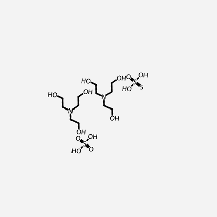 O=S(=O)(O)O.O=S(O)(O)=S.OCCN(CCO)CCO.OCCN(CCO)CCO